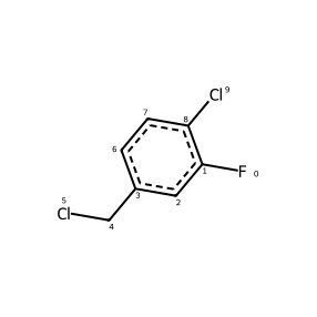 Fc1cc(CCl)ccc1Cl